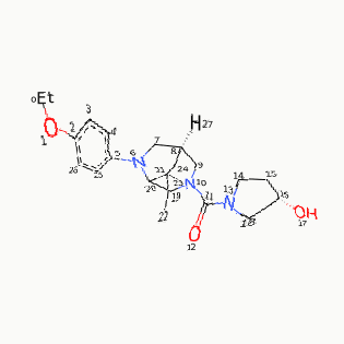 CCOc1ccc(N2C[C@H]3CN(C(=O)N4CC[C@H](O)C4)CC2C(C)(C)C3)cc1